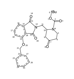 CC(C)(C)OC(=O)N1CCC(=O)CC1CN1C(=O)c2cccc(OCc3ccccc3)c2C1=O